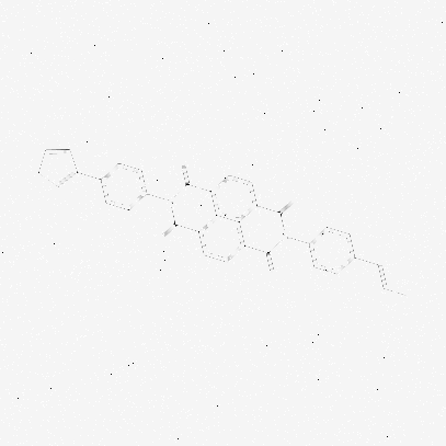 C/C=C/c1ccc(N2C(=O)c3ccc4c5c(ccc(c35)C2=O)C(=O)N(c2ccc(C3=CCC=C3)cc2)C4=O)cc1